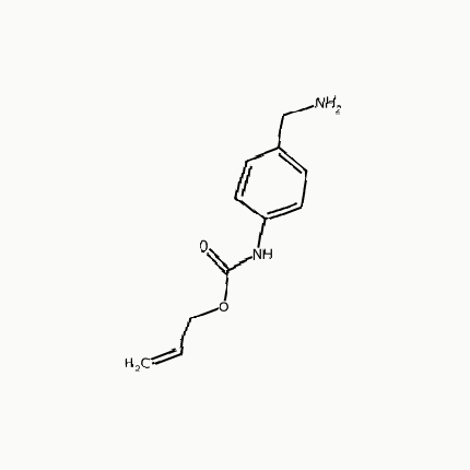 C=CCOC(=O)Nc1ccc(CN)cc1